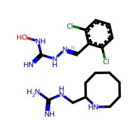 N=C(N)NCC1CCCCCCN1.N=C(NO)N/N=C/c1c(Cl)cccc1Cl